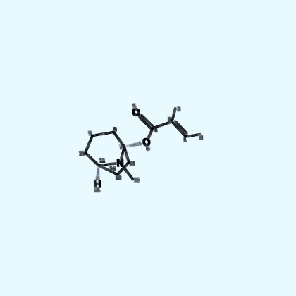 CC=C(C)C(=O)O[C@]12CCC[C@H](CC1)N2C